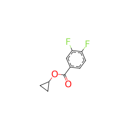 O=C(OC1CC1)c1ccc(F)c(F)c1